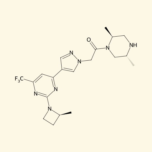 C[C@@H]1CN(C(=O)Cn2cc(-c3cc(C(F)(F)F)nc(N4CC[C@@H]4C)n3)cn2)[C@@H](C)CN1